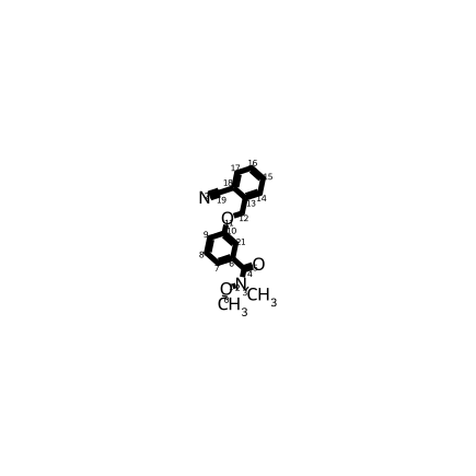 CON(C)C(=O)c1cccc(OCc2ccccc2C#N)c1